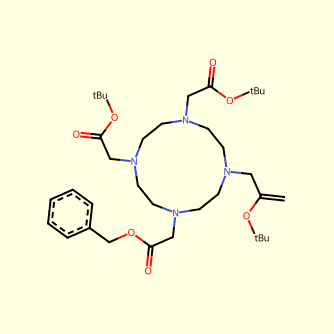 C=C(CN1CCN(CC(=O)OCc2ccccc2)CCN(CC(=O)OC(C)(C)C)CCN(CC(=O)OC(C)(C)C)CC1)OC(C)(C)C